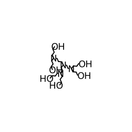 OCCCN(CCCO)CCCN(CCN(CCCO)CCCO)CCN(CCCO)CCCO